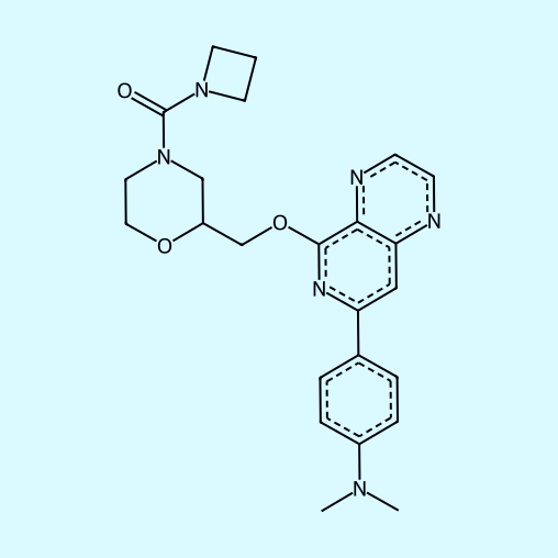 CN(C)c1ccc(-c2cc3nccnc3c(OCC3CN(C(=O)N4CCC4)CCO3)n2)cc1